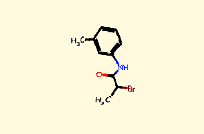 Cc1cccc(NC(=O)C(C)Br)c1